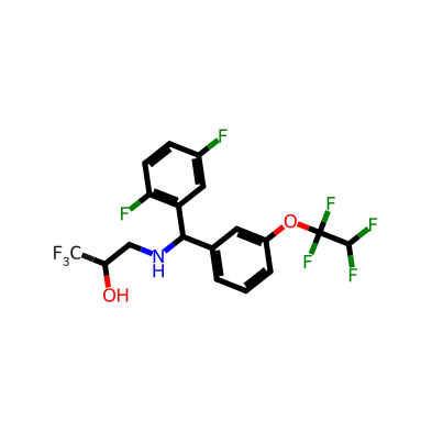 OC(CNC(c1cccc(OC(F)(F)C(F)F)c1)c1cc(F)ccc1F)C(F)(F)F